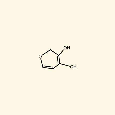 OC1=C(O)C=CO[CH]1